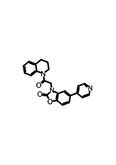 O=C(Cn1c(=O)oc2ccc(-c3ccncc3)cc21)N1CCCc2ccccc21